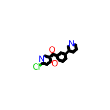 O=c1c2cnc(Cl)cc2oc2ccc(-c3cccnc3)cc12